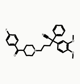 COc1ccc(C(C#N)(CCCN2CCC(C(=O)c3ccc(F)cc3)CC2)c2ccccc2)cc1OC